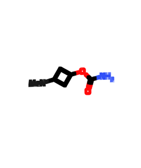 CNC1CC(OC(N)=O)C1